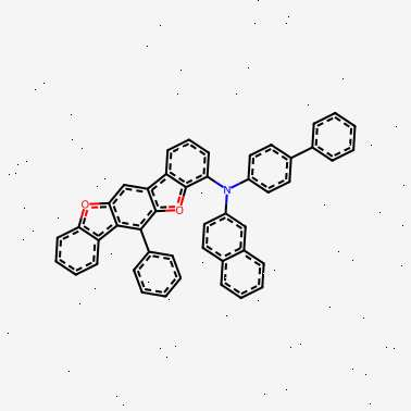 c1ccc(-c2ccc(N(c3ccc4ccccc4c3)c3cccc4c3oc3c(-c5ccccc5)c5c(cc34)oc3ccccc35)cc2)cc1